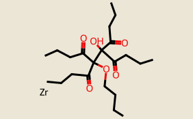 CCCCOC(C(=O)CCC)(C(=O)CCC)C(O)(C(=O)CCC)C(=O)CCC.[Zr]